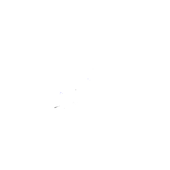 CCOC(=O)[C@@H]1C[C@@H]2CCN(C(=O)c3ccccc3)C[C@@H]2N1